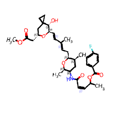 COC(=O)C[C@@H]1CC2(CC2)[C@H](O)[C@@H](/C=C/C(C)=C/C[C@@H]2O[C@H](C)[C@H](NC(=O)/C=C\C(C)OC(=O)c3ccc(F)cc3)C[C@@H]2C)O1